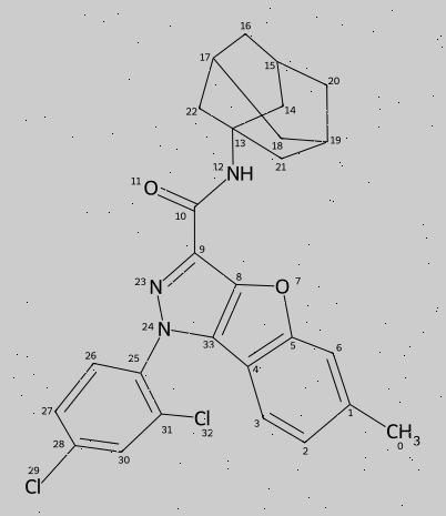 Cc1ccc2c(c1)oc1c(C(=O)NC34CC5CC(CC(C5)C3)C4)nn(-c3ccc(Cl)cc3Cl)c12